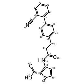 N#Cc1ccccc1-c1ccc(CCC(=O)Nc2ccsc2C(=O)O)cc1